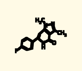 Cc1nn(C)c2cc(-c3ccc(F)cc3)[nH]c(=O)c12